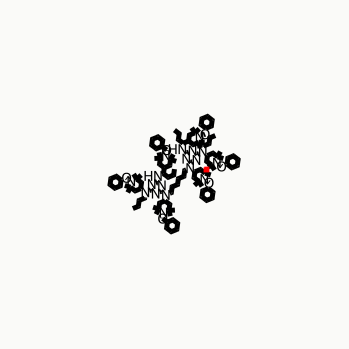 CCCCN(c1nc(NC(CCC)C2CC(C)(C)N(OC3CCCCC3)C(C)(C)C2)nc(N(CCCCCCN(c2nc(NC(CCC)C3CC(C)(C)N(OC4CCCCC4)C(C)(C)C3)nc(N(CCCC)C3CC(C)(C)N(OC4CCCCC4)C(C)(C)C3)n2)C2CC(C)(C)N(OC3CCCCC3)C(C)(C)C2)C2CC(C)(C)N(OC3CCCCC3)C(C)(C)C2)n1)C1CC(C)(C)N(OC2CCCCC2)C(C)(C)C1